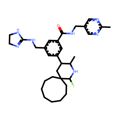 Cc1ncc(CNC(=O)c2cc(CNC3=NCCN3)cc(C3CC4(CCCCCCCC4)C(F)NC3C)c2)cn1